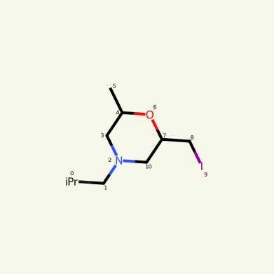 CC(C)CN1CC(C)OC(CI)C1